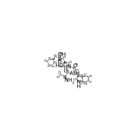 CC(C)[C@H](N)C(=O)[AsH][C@@H](Cc1c[nH]c2ccccc12)C(=O)NC[C@@H](O)CP(=O)(O)CC1CCCCC1